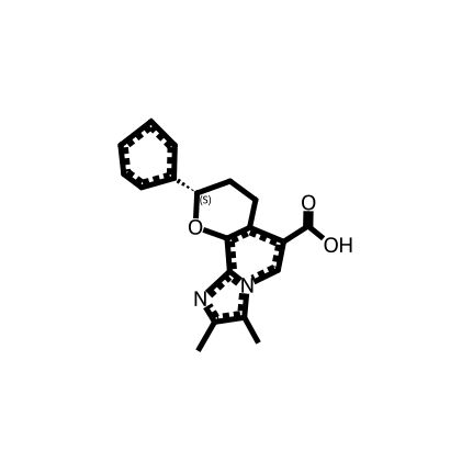 Cc1nc2c3c(c(C(=O)O)cn2c1C)CC[C@@H](c1ccccc1)O3